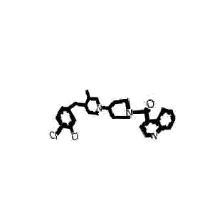 CC1CN(C2CCN(C(=O)c3ccnc4ccccc34)CC2)CCC1Cc1ccc(Cl)c(Cl)c1